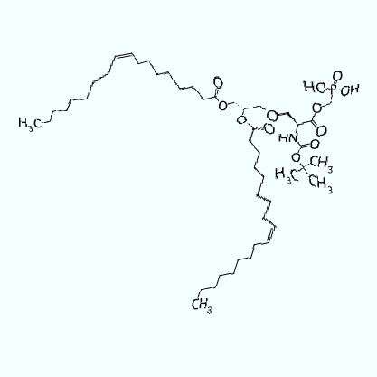 CCCCCCCC/C=C\CCCCCCCC(=O)OC[C@H](COC[C@H](NC(=O)OC(C)(C)C)C(=O)OCP(=O)(O)O)OC(=O)CCCCCCC/C=C\CCCCCCCC